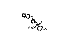 COCO[C@@]1(Cc2cc(O[C@H]3CC[C@]4(CCCO4)CC3)ccn2)C(=O)N(COC)[C@H]1CC(C)C